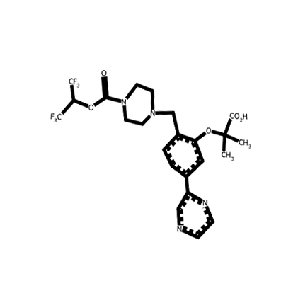 CC(C)(Oc1cc(-c2cnccn2)ccc1CN1CCN(C(=O)OC(C(F)(F)F)C(F)(F)F)CC1)C(=O)O